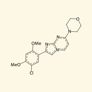 COc1cc(OC)c(-c2cn3ccc(N4CCOCC4)nc3n2)cc1Cl